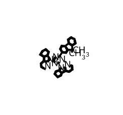 CC1(C)c2ccccc2-c2ccc(-c3nc(-n4c5ccccc5c5cccnc54)nc(-n4c5ccccc5c5cccnc54)n3)cc21